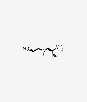 C=CCN/C=C(/N)C(C)CC